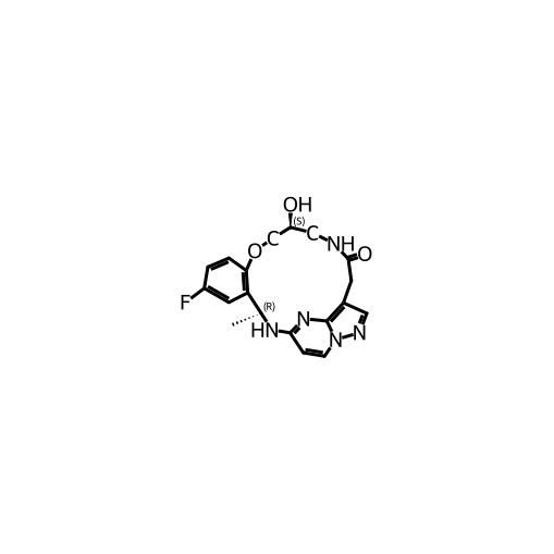 C[C@H]1Nc2ccn3ncc(c3n2)CC(=O)NC[C@H](O)COc2ccc(F)cc21